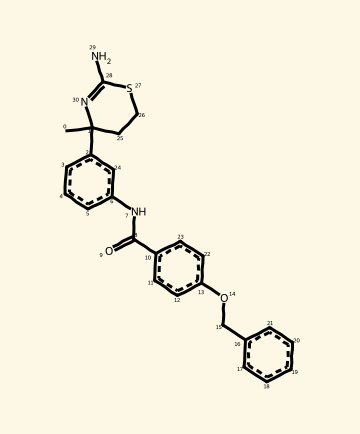 CC1(c2cccc(NC(=O)c3ccc(OCc4ccccc4)cc3)c2)CCSC(N)=N1